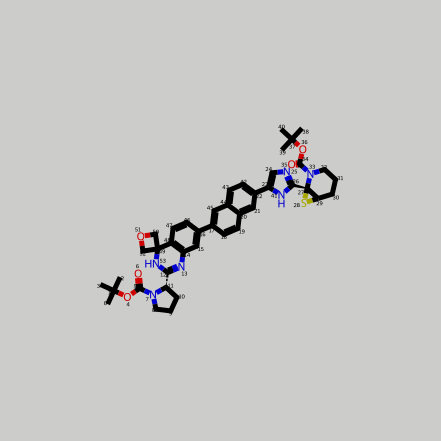 CC(C)(C)OC(=O)N1CCC[C@H]1C1=Nc2cc(-c3ccc4cc(-c5cnc([C@]67SC6CCCN7C(=O)OC(C)(C)C)[nH]5)ccc4c3)ccc2C2(COC2)N1